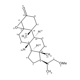 COCC(C)[C@H]1CC[C@H]2[C@@H]3CCC45OC4C(=O)CC[C@]5(C)[C@H]3CC[C@]12C